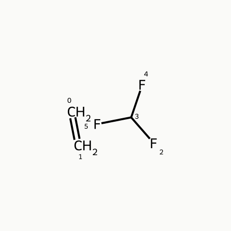 C=C.FC(F)F